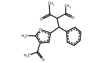 CC(=O)c1cc(C(c2ccccc2)C(C(C)=O)C(C)=O)oc1C